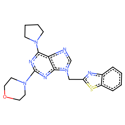 c1ccc2sc(Cn3cnc4c(N5CCCC5)nc(N5CCOCC5)nc43)nc2c1